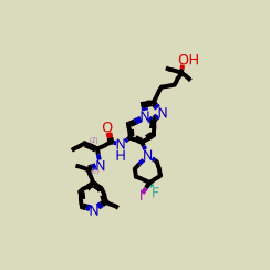 C/C=C(\N=C(/C)c1ccnc(C)c1)C(=O)Nc1cn2cc(CCC(C)(C)O)nc2cc1N1CCC(F)(I)CC1